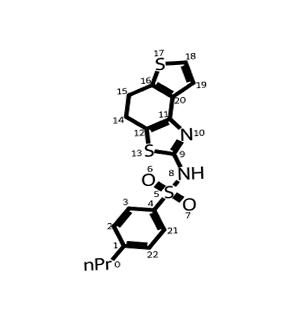 CCCc1ccc(S(=O)(=O)Nc2nc3c(s2)CCc2sccc2-3)cc1